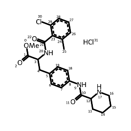 COC(=O)C(Cc1ccc(NC(=O)C2CCCCN2)cc1)NC(=O)c1c(C)cccc1Cl.Cl